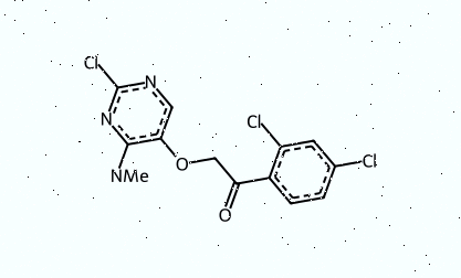 CNc1nc(Cl)ncc1OCC(=O)c1ccc(Cl)cc1Cl